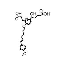 COc1ccc(/C=C/CCCCOc2ccc(C(O)CCCC(=O)O)nc2CCC(=O)O)cc1